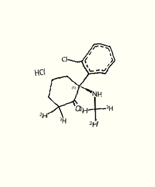 Cl.[2H]C([2H])([2H])N[C@]1(c2ccccc2Cl)CCCC([2H])([2H])C1=O